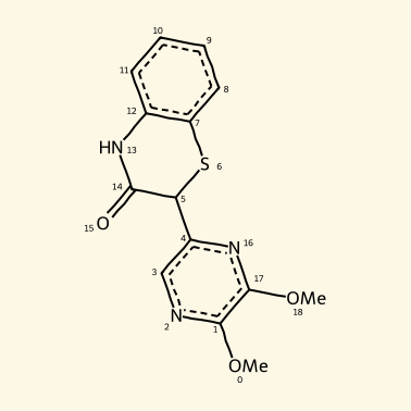 COc1ncc(C2Sc3ccccc3NC2=O)nc1OC